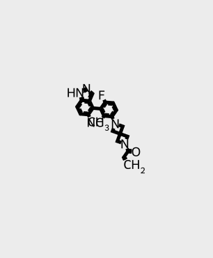 C=CC(=O)N1CC2(C1)CN(c1ccc(F)c(-c3c(C)ccc4[nH]ncc34)c1C#N)C2